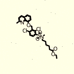 CCOC(=O)CCCCCN(C)S(=O)(=O)c1ccc(Cl)c(COc2cccc3ccc(C)nc23)c1Cl